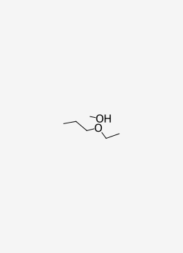 CCCOCC.CO